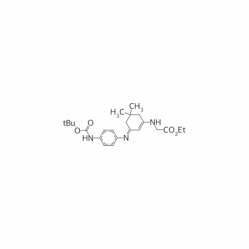 CCOC(=O)CNC1=C/C(=N/c2ccc(NC(=O)OC(C)(C)C)cc2)CC(C)(C)C1